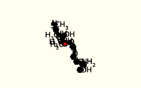 Cc1ncsc1-c1ccc(C(C)NC(=O)C2CC(O)CN2C(=O)C(NC(=O)CCC(=O)N2CCN(CCOc3cccc(N4CCCC(Oc5cc(-c6ccccc6O)nnc5N)C4)c3)CC2)C(C)(C)C)cc1